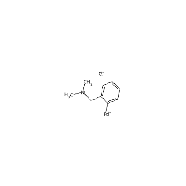 CN(C)Cc1cccc[c]1[Pd+].[Cl-]